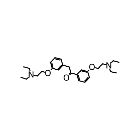 CCN(CC)CCOc1cccc(CC(=O)c2cccc(OCCN(CC)CC)c2)c1